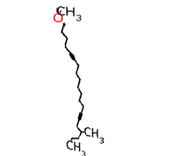 CCCC(C)CC#CCCCCCCCC#CCCCCOC